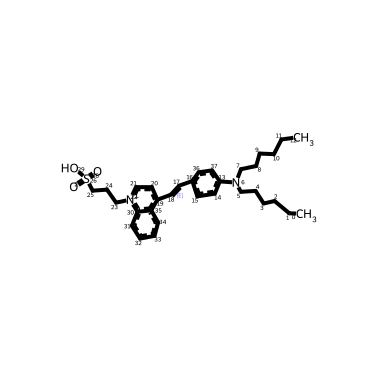 CCCCCCN(CCCCCC)c1ccc(/C=C/c2cc[n+](CCCS(=O)(=O)O)c3ccccc23)cc1